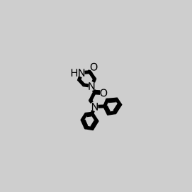 O=C1CN(C(=O)CN(c2ccccc2)c2ccccc2)CCN1